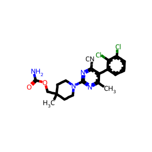 Cc1nc(N2CCC(C)(COC(N)=O)CC2)nc(C#N)c1-c1cccc(Cl)c1Cl